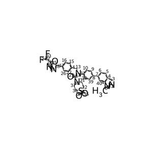 Cn1ncc2ccc(-c3ccc(N(Cc4ccc(-c5nnc(C(F)F)o5)cc4)C(=O)N4CCS(=O)(=O)CC4)cc3)cc21